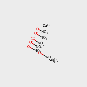 O=[N+]([O-])[O-].O=[N+]([O-])[O-].O=[N+]([O-])[O-].O=[N+]([O-])[O-].O=[N+]([O-])[O-].O=[N+]([O-])[O-].[Ca+2].[Mg+2].[Sr+2]